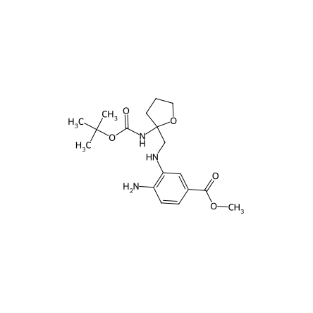 COC(=O)c1ccc(N)c(NCC2(NC(=O)OC(C)(C)C)CCCO2)c1